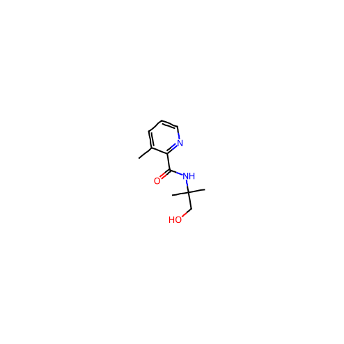 Cc1cccnc1C(=O)NC(C)(C)CO